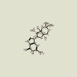 CC(C)(C)[Si]1(C(C)(C)C)OC[C@H]2S[C@@H](n3cnc4c(=O)[nH]c(N)nc43)[C@H](O)[C@@H]2O1